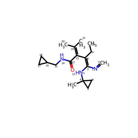 C=N/C(NC1(C)CC1)=C(\CC)C(C(=O)NCC1CC1)=C(C)C